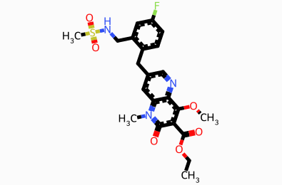 CCOC(=O)c1c(OC)c2ncc(Cc3ccc(F)cc3CNS(C)(=O)=O)cc2n(C)c1=O